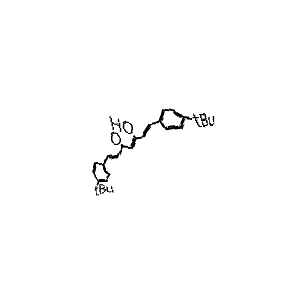 CC(C)(C)c1ccc(C=CC(=O)C=C(O)C=Cc2ccc(C(C)(C)C)cc2)cc1